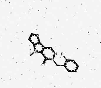 Cn1c2ccsc2c2cnn(Cc3ccccc3F)c(=O)c21